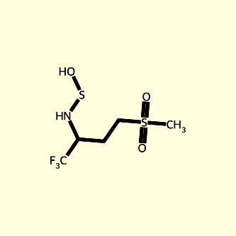 CS(=O)(=O)CCC(NSO)C(F)(F)F